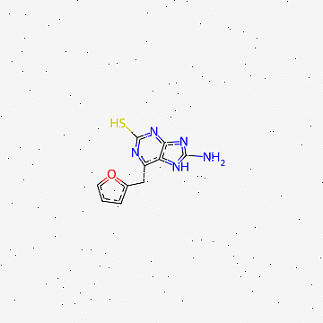 Nc1nc2nc(S)nc(Cc3ccco3)c2[nH]1